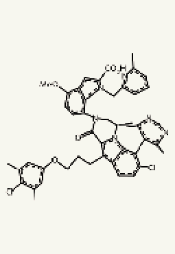 COc1ccc(N2C[C@@H](C)n3c(c(CCCOc4cc(C)c(Cl)c(C)c4)c4ccc(Cl)c(-c5c(C)ncnc5C)c43)C2=O)c2c1cc(C(=O)O)n2Cc1cccc(C)n1